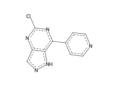 Clc1nc(-c2ccncc2)c2[nH]ncc2n1